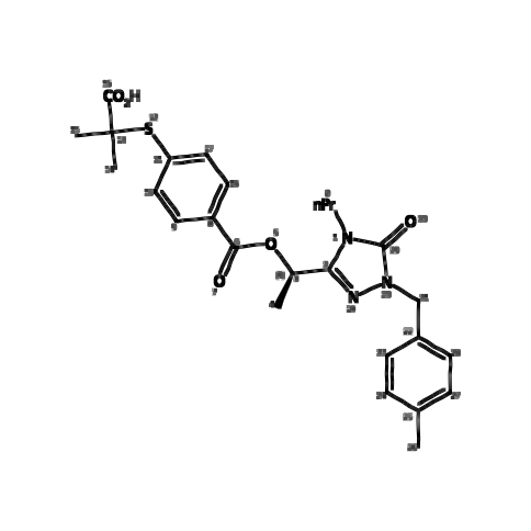 CCCn1c([C@@H](C)OC(=O)c2ccc(SC(C)(C)C(=O)O)cc2)nn(Cc2ccc(C)cc2)c1=O